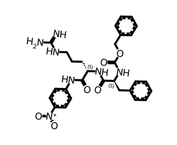 N=C(N)NCCC[C@H](NC(=O)[C@H](Cc1ccccc1)NC(=O)OCc1ccccc1)C(=O)Nc1ccc([N+](=O)[O-])cc1